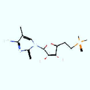 C=C1N=C(N)C(C)=CN1C1OC(CCP(=C)(C)C)[C@@H](O)[C@H]1O